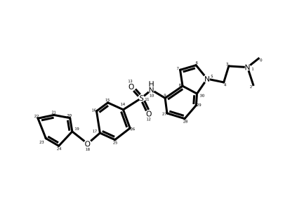 CN(C)CCn1ccc2c(NS(=O)(=O)c3ccc(Oc4ccccc4)cc3)cccc21